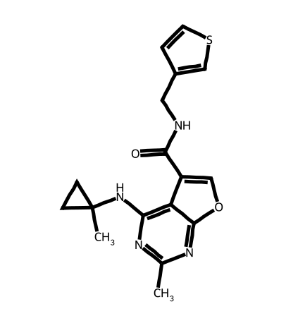 Cc1nc(NC2(C)CC2)c2c(C(=O)NCc3ccsc3)coc2n1